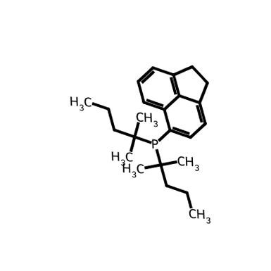 CCCC(C)(C)P(c1ccc2c3c(cccc13)CC2)C(C)(C)CCC